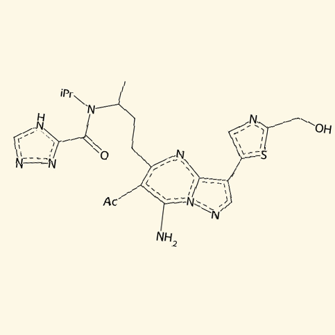 CC(=O)c1c(CCC(C)N(C(=O)c2nnc[nH]2)C(C)C)nc2c(-c3cnc(CO)s3)cnn2c1N